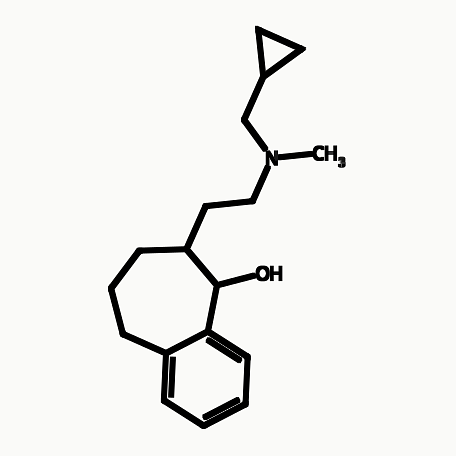 CN(CCC1CCCc2ccccc2C1O)CC1CC1